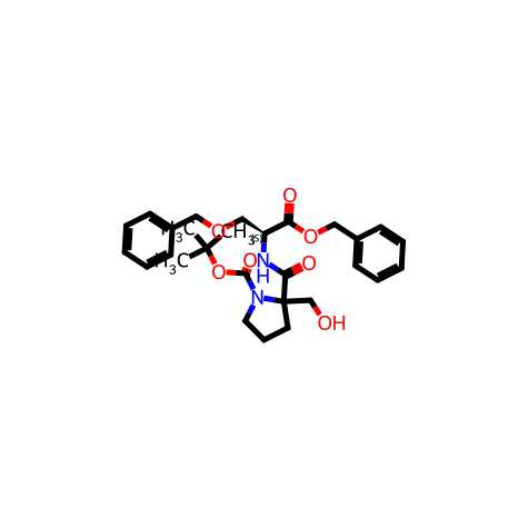 CC(C)(C)OC(=O)N1CCCC1(CO)C(=O)N[C@@H](COCc1ccccc1)C(=O)OCc1ccccc1